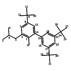 Cc1c(CC(C)C)cc(C(C)(C)C)cc1-c1cc(C(C)(C)C)cc(C(C)(C)C)c1